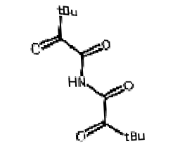 CC(C)(C)C(=O)C(=O)NC(=O)C(=O)C(C)(C)C